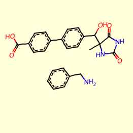 CC1(C(O)c2ccc(-c3ccc(C(=O)O)cc3)cc2)NC(=O)NC1=O.NCc1ccccc1